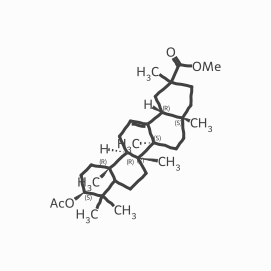 COC(=O)C1(C)CC[C@]2(C)CC[C@]3(C)C(=CC[C@@H]4[C@@]5(C)CC[C@H](OC(C)=O)C(C)(C)C5CC[C@]43C)[C@@H]2C1